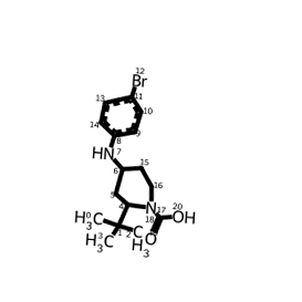 CC(C)(C)C1CC(Nc2ccc(Br)cc2)CCN1C(=O)O